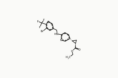 CCOC(=O)[C@@H]1C[C@H]1c1ccc(NCc2ccc(C(F)(F)F)c(Br)c2)nc1